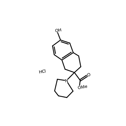 COC(=O)C1(N2CCCCC2)CCc2cc(O)ccc2C1.Cl